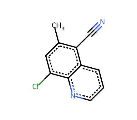 Cc1cc(Cl)c2ncccc2c1C#N